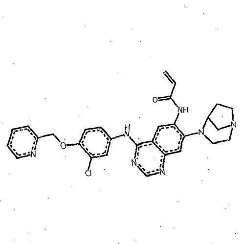 C=CC(=O)Nc1cc2c(Nc3ccc(OCc4ccccn4)c(Cl)c3)ncnc2cc1N1CCN2CCC1C2